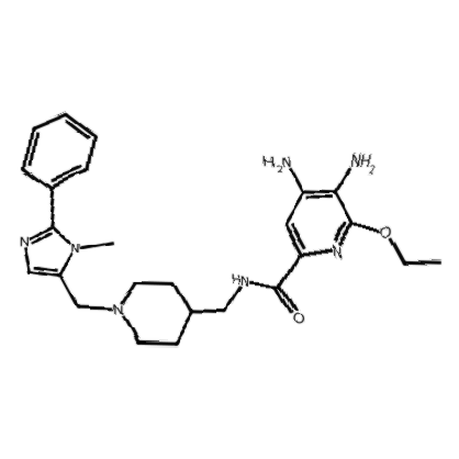 CCOc1nc(C(=O)NCC2CCN(Cc3cnc(-c4ccccc4)n3C)CC2)cc(N)c1N